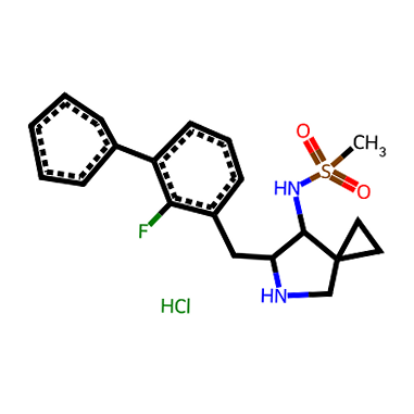 CS(=O)(=O)NC1C(Cc2cccc(-c3ccccc3)c2F)NCC12CC2.Cl